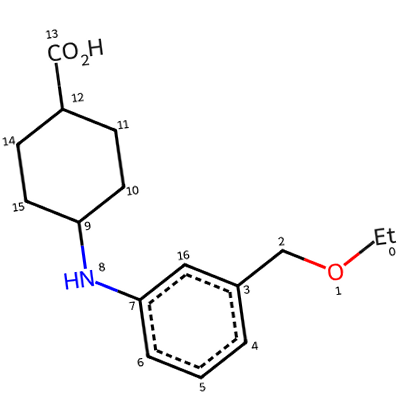 CCOCc1cccc(NC2CCC(C(=O)O)CC2)c1